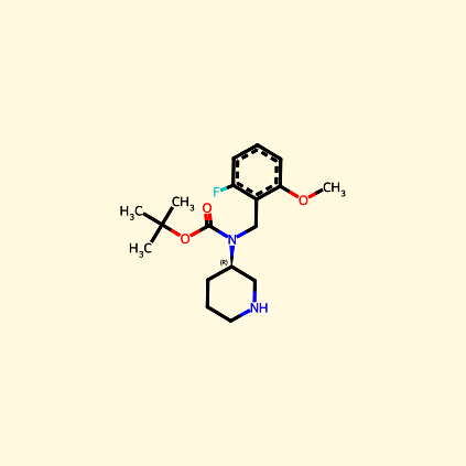 COc1cccc(F)c1CN(C(=O)OC(C)(C)C)[C@@H]1CCCNC1